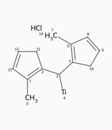 CC1=C([CH]([Ti])C2=C(C)C=CC2)CC=C1.Cl